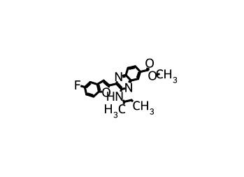 CCC(C)Nc1nc2cc(C(=O)OC)ccc2nc1-c1cc2cc(F)ccc2o1